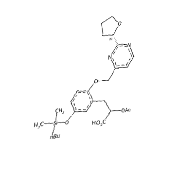 CCCC[Si](C)(C)Oc1ccc(OCc2ccnc([C@@H]3CCCO3)n2)c(CC(OC(C)=O)C(=O)O)c1